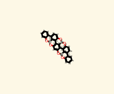 c1ccc2c(c1)OB1Oc3cc4c5c6c3-c3c(ccc-2c31)OB6Oc1ccc2c(c1-5)B(Oc1ccccc1-2)O4